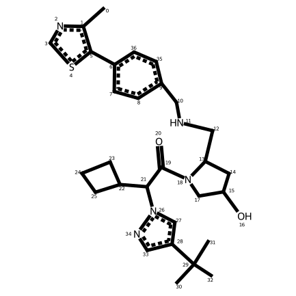 Cc1ncsc1-c1ccc(CNCC2CC(O)CN2C(=O)C(C2CCC2)n2cc(C(C)(C)C)cn2)cc1